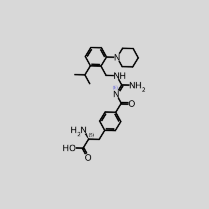 CC(C)c1cccc(N2CCCCC2)c1CN/C(N)=N/C(=O)c1ccc(C[C@H](N)C(=O)O)cc1